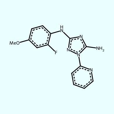 COc1ccc(Nc2nc(N)n(-c3ccccn3)n2)c(F)c1